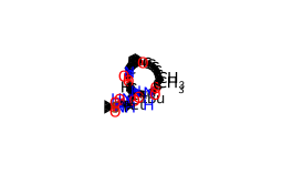 CC[C@H]1C[C@@]1(NC(=O)C1C[C@@H]2CN1C(=O)[C@H](C(C)(C)C)NC(=O)OCC(C)(C)CCCCCOc1cccc3c1CN(C3)C(=O)O2)C(=O)NS(=O)(=O)C1CC1